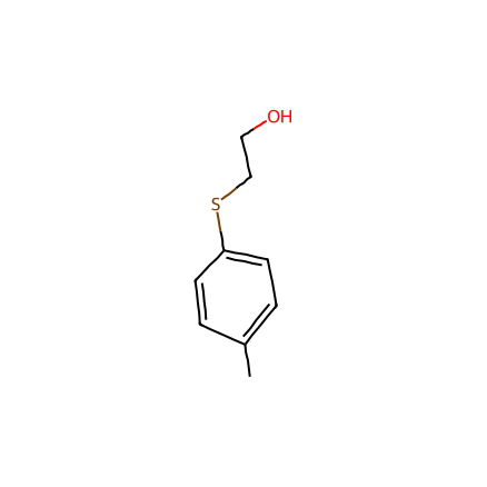 Cc1ccc(SCCO)cc1